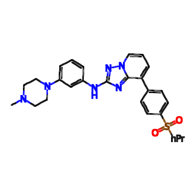 CCCS(=O)(=O)c1ccc(-c2cccn3nc(Nc4cccc(N5CCN(C)CC5)c4)nc23)cc1